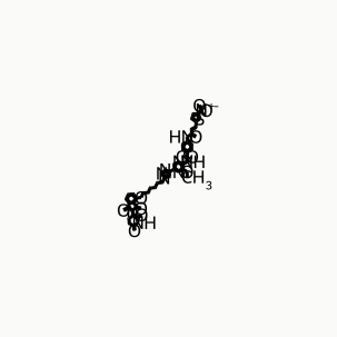 COc1nc(-c2cn(CCCCCCOc3cccc4c3C(=O)N(C3CCC(=O)NC3=O)C4=O)nn2)cnc1NS(=O)(=O)c1ccc(NC(=O)/C=C/c2ccc([N+](=O)[O-])s2)cc1